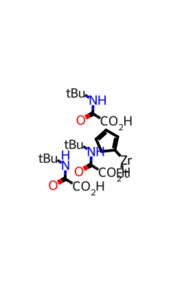 CC(C)(C)NC(=O)C(=O)O.CC(C)(C)NC(=O)C(=O)O.CC(C)(C)NC(=O)C(=O)O.C[CH2][Zr][C]1=CC=CC1